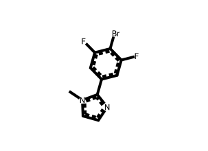 Cn1ccnc1-c1cc(F)c(Br)c(F)c1